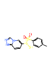 Cc1ccc(S(=O)(=O)[SH](S)c2ccc3nncn3c2)cc1